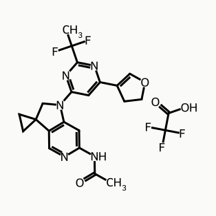 CC(=O)Nc1cc2c(cn1)C1(CC1)CN2c1cc(C2=COCC2)nc(C(C)(F)F)n1.O=C(O)C(F)(F)F